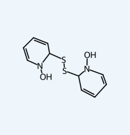 ON1C=CC=CC1SSC1C=CC=CN1O